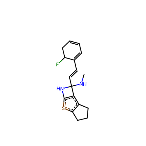 CNC1(/C=C/C2=CC=CCC2F)Nc2sc3c(c21)CCC3